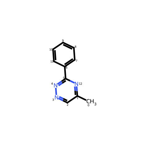 Cc1cnnc(-c2ccccc2)n1